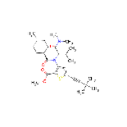 COC(=O)c1sc(C#CC(C)(C)C)cc1N(C(=O)[C@H]1CC[C@H](C)CC1)C(C(=O)N(C)C)C(C)C